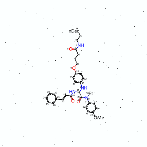 CCCCCCCCCCCCNC(=O)CCCOc1ccc(NC(NC(=O)C=Cc2ccccc2)C(=O)N(CC)c2ccc(OC)cc2)cc1